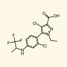 CCn1nc(C(=O)O)c(Cl)c1-c1ccc(NC(C)C(F)(F)F)cc1Cl